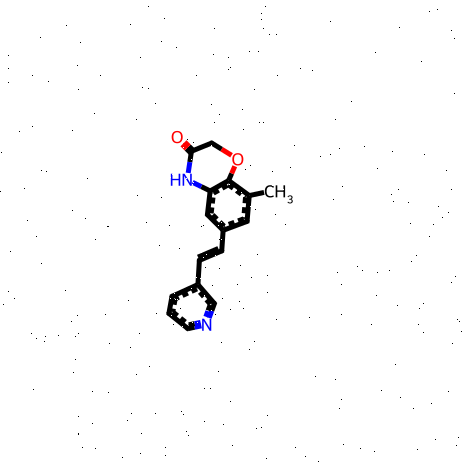 Cc1cc(C=Cc2cccnc2)cc2c1OCC(=O)N2